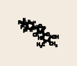 CC(CO)C(C)NC(=O)c1noc(-c2ccc(C(F)(F)F)c(F)c2)c1Cl